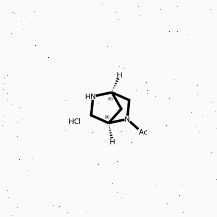 CC(=O)N1C[C@H]2C[C@@H]1CN2.Cl